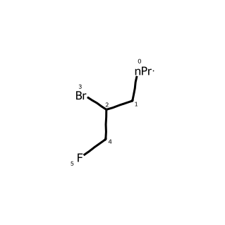 CC[CH]CC(Br)CF